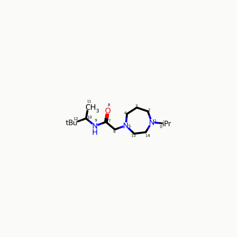 CC(C)N1CCCN(CC(=O)NC(C)C(C)(C)C)CC1